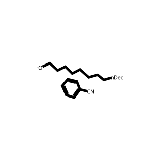 CCCCCCCCCCCCCCCCCC[O].N#Cc1ccccc1